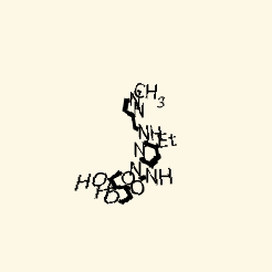 CCC1C=c2[nH]c(O[C@@]34CCO[C@@H]3[C@H](O)CO4)nc2=NC1NCc1ccn(C)n1